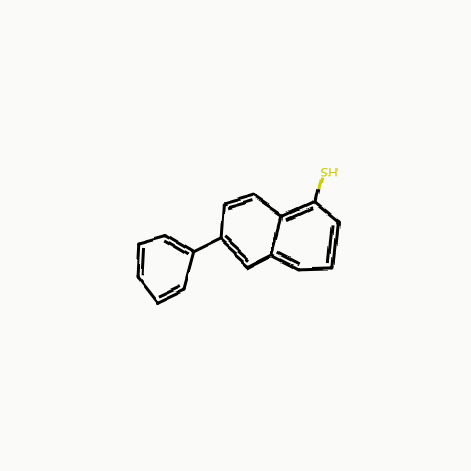 Sc1cccc2cc(-c3ccccc3)ccc12